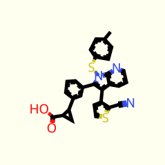 Cc1ccc(Sn2c(-c3cccc(C4CC4C(=O)O)c3)c(-c3ccsc3C#N)c3cccnc32)cc1